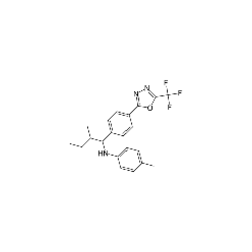 CCC(C)C(Nc1ccc(C)cc1)c1ccc(-c2nnc(C(F)(F)F)o2)cc1